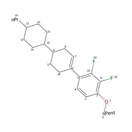 CCCCCOc1ccc(C2=CCC(C3CCC(CCC)CC3)CC2)c(F)c1F